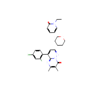 CCn1cc([C@H]2C[C@@H](c3cc(-c4ccc(Cl)cc4F)c4nc(C)c(C)c(=O)n4n3)CCO2)ccc1=O